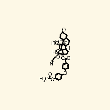 CC(=O)Oc1ccc(Oc2ccc(C(=O)O[C@]3(C(=O)OCC#N)CC[C@H]4[C@@H]5CCC6=CC(=O)C=C[C@]6(C)[C@@]5(F)[C@@H](O)C[C@@]43C)cc2)cc1